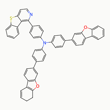 C1=Cc2c(oc3cc(-c4ccc(N(c5ccc(-c6ccc7c(c6)oc6ccccc67)cc5)c5ccc(-c6nccc7sc8ccccc8c67)cc5)cc4)ccc23)CC1